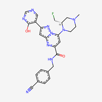 CN1CCN(c2cc(C(=O)NCc3ccc(C#N)cc3)nc3cc(-c4cncnc4O)nn23)[C@H](CF)C1